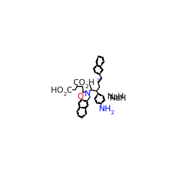 CC(C(C/C=C/c1ccc2ccccc2c1)c1ccc(N)cc1)N(Cc1ccc2ccccc2c1)C(=O)CC(CC(=O)O)C(=O)O.[NaH].[NaH]